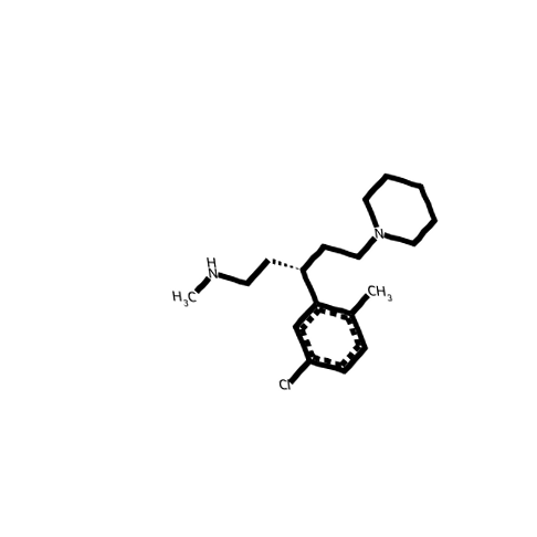 CNCC[C@H](CCN1CCCCC1)c1cc(Cl)ccc1C